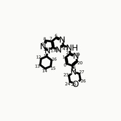 c1cc(Nc2ncc3cnn(C4CCCCC4)c3n2)ncc1N1CCOCC1